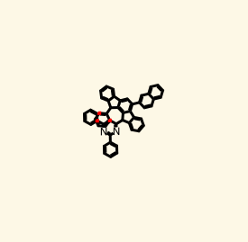 c1ccc(-c2cc(C3c4ccccc4-c4c(-c5ccc6ccccc6c5)cc5c(c43)C(c3ccccc3)c3ccccc3-5)nc(-c3ccccc3)n2)cc1